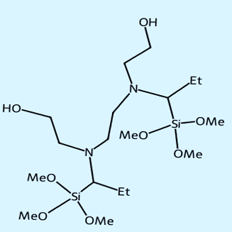 CCC(N(CCO)CCN(CCO)C(CC)[Si](OC)(OC)OC)[Si](OC)(OC)OC